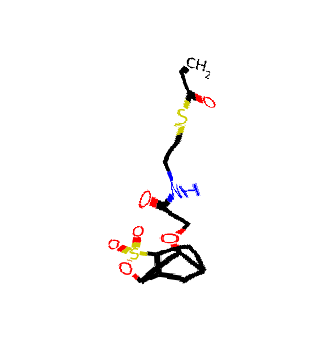 C=CC(=O)SCCNC(=O)COC1C2CC3C1OS(=O)(=O)C3C2